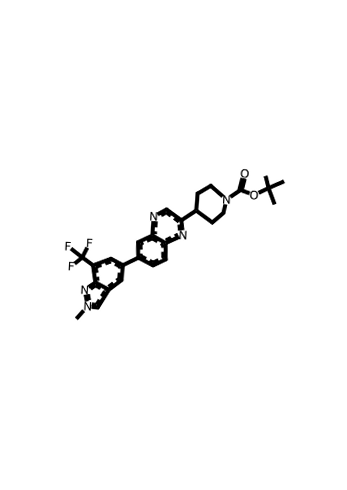 Cn1cc2cc(-c3ccc4nc(C5CCN(C(=O)OC(C)(C)C)CC5)cnc4c3)cc(C(F)(F)F)c2n1